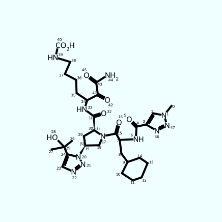 Cn1cc(C(=O)NC(CC2CCCCC2)C(=O)N2C[C@@H](n3nncc3C(C)(C)O)C[C@H]2C(=O)NC(CCCCNC(=O)O)C(=O)C(N)=O)nn1